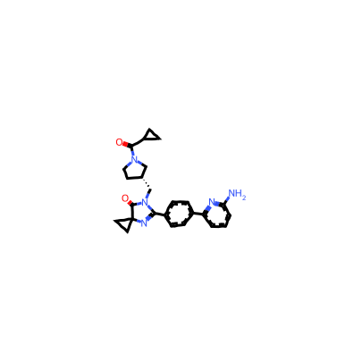 Nc1cccc(-c2ccc(C3=NC4(CC4)C(=O)N3C[C@@H]3CCN(C(=O)C4CC4)C3)cc2)n1